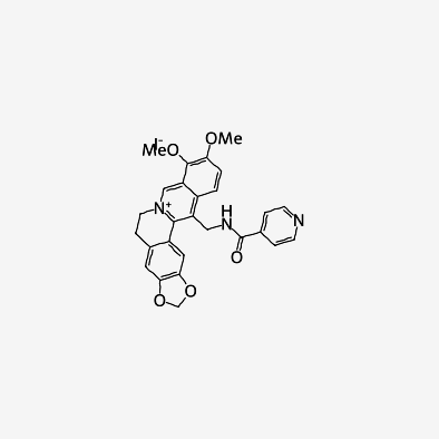 COc1ccc2c(CNC(=O)c3ccncc3)c3[n+](cc2c1OC)CCc1cc2c(cc1-3)OCO2.[I-]